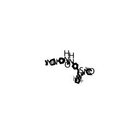 CC(C)N1CCN(c2ccc(NC(=O)Nc3ccc(C4=CN(N5[C@H](C)CC[C@@H]5C)C=C(N5CCOC[C@H]5C)S4)cc3)cc2)CC1